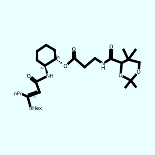 CCCCCC/C(=C/C(=O)N[C@H]1CCCC[C@@H]1OC(=O)CCNC(=O)C1OC(C)(C)OCC1(C)C)CCC